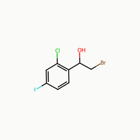 OC(CBr)c1ccc(F)cc1Cl